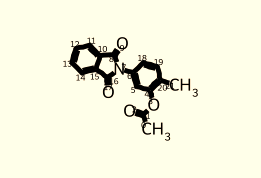 CC(=O)Oc1cc(N2C(=O)c3ccccc3C2=O)ccc1C